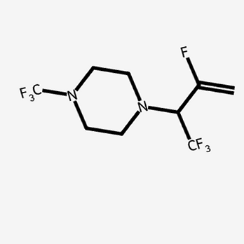 C=C(F)C(N1CCN(C(F)(F)F)CC1)C(F)(F)F